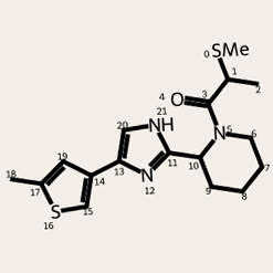 CSC(C)C(=O)N1CCCCC1c1nc(-c2csc(C)c2)c[nH]1